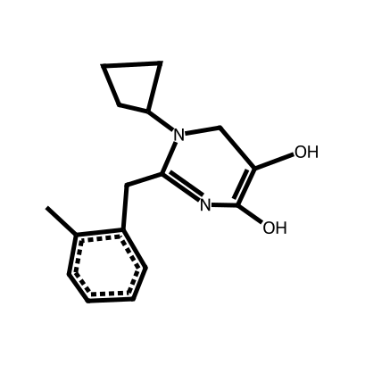 Cc1ccccc1CC1=NC(O)=C(O)CN1C1CCC1